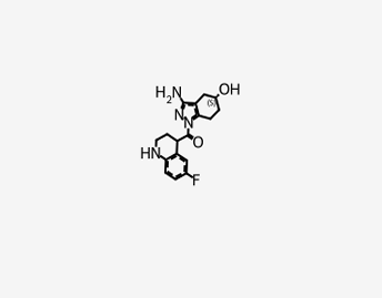 Nc1nn(C(=O)C2CCNc3ccc(F)cc32)c2c1C[C@@H](O)CC2